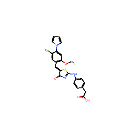 COc1cc(-n2cccc2)c(Cl)cc1C=C1SC(Nc2ccc(CC(=O)O)cc2)=NC1=O